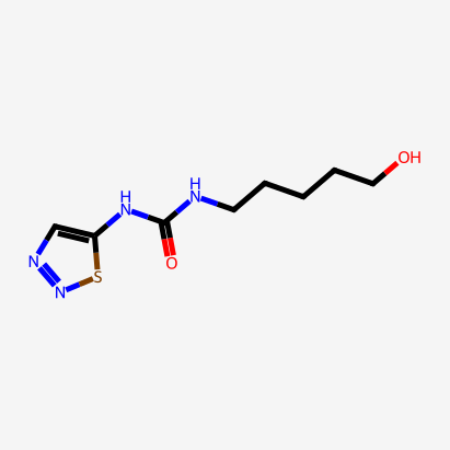 O=C(NCCCCCO)Nc1cnns1